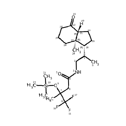 CC(CNC(=O)CC(C)(O[Si](C)(C)C)C(F)(F)F)[C@H]1CC[C@H]2C(=O)CCC[C@]12C